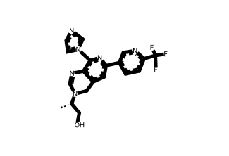 C[C@@H](CO)N1C=Nc2c(cc(-c3ccc(C(F)(F)F)nc3)nc2-n2ccnc2)C1